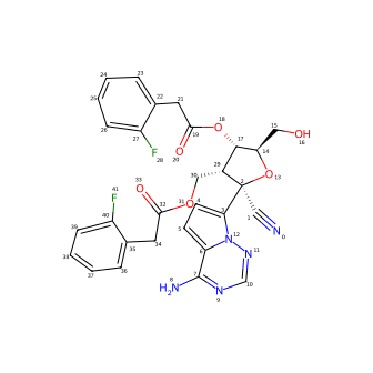 N#C[C@@]1(c2ccc3c(N)ncnn23)O[C@H](CO)[C@@H](OC(=O)Cc2ccccc2F)[C@H]1COC(=O)Cc1ccccc1F